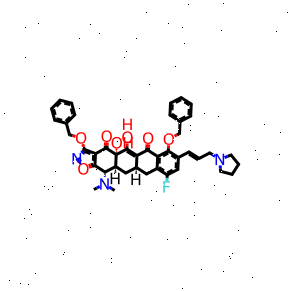 CN(C)[C@@H]1c2onc(OCc3ccccc3)c2C(=O)[C@@]2(O)C(O)=C3C(=O)c4c(c(F)cc(/C=C/CN5CCCC5)c4OCc4ccccc4)C[C@H]3C[C@@H]12